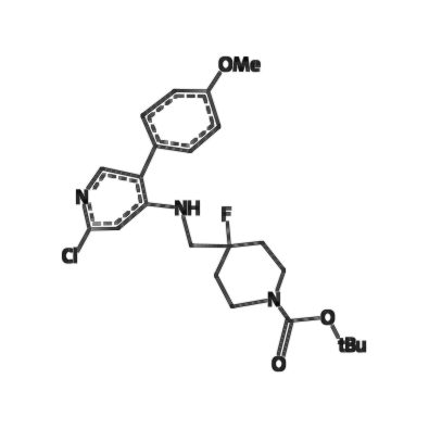 COc1ccc(-c2cnc(Cl)cc2NCC2(F)CCN(C(=O)OC(C)(C)C)CC2)cc1